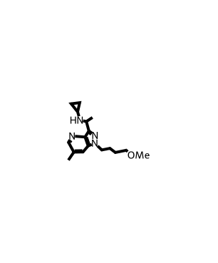 COCCCCn1nc(C(C)NC2CC2)c2ncc(C)cc21